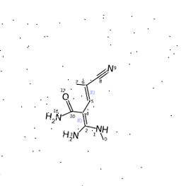 CN/C(N)=C(\C=C(/C)C#N)C(N)=O